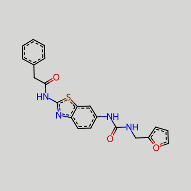 O=C(Cc1ccccc1)Nc1nc2ccc(NC(=O)NCc3ccco3)cc2s1